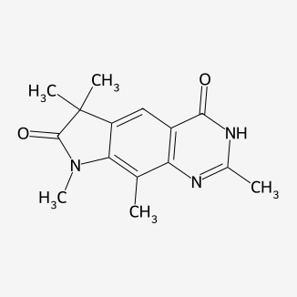 Cc1nc2c(C)c3c(cc2c(=O)[nH]1)C(C)(C)C(=O)N3C